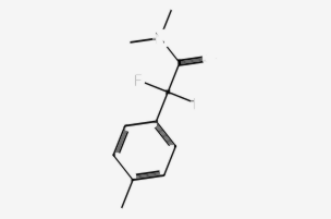 Cc1ccc(C(F)(F)C(=O)N(C)C)cc1